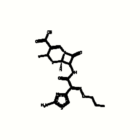 CCCON=C(C(=O)NC1C(=O)N2C=C(C(=O)O)C(C)S[C@H]12)c1csc(N)n1